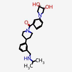 CC(C)NCc1cccc(C2CCN(C(=O)c3cccc(N4C[C@@H](O)[C@@H](O)C4)c3)CC2)c1